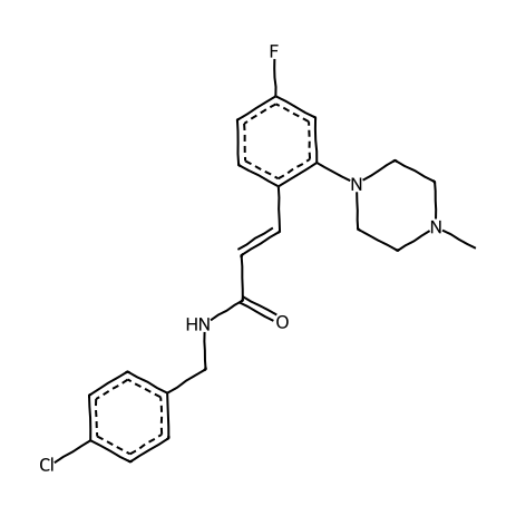 CN1CCN(c2cc(F)ccc2C=CC(=O)NCc2ccc(Cl)cc2)CC1